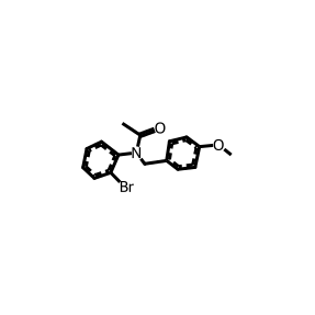 COc1ccc(CN(C(C)=O)c2ccccc2Br)cc1